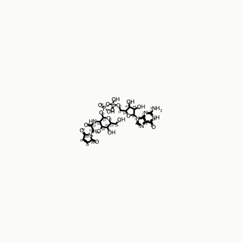 Nc1nc2c(ncn2C2OC(COP(=O)(O)OP(=O)(O)OC3OC(CO)C(O)C(O)C3NC(=O)CN3C(=O)C=CC3=O)C(O)C2O)c(=O)[nH]1